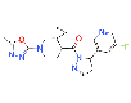 Cc1nnc(N2CCC(C(=O)N3N=CCC3c3cncc(F)c3)C3(CC3)C2)o1